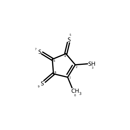 Cc1c(S)c(=S)c(=S)c1=S